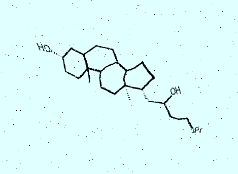 CC(C)CCC(O)C[C@H]1CCC2C3CCC4C[C@@H](O)CCC4(C)C3CC[C@@]21C